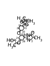 Cc1cnc(-c2cc(Oc3ccc(S(=O)(=O)N(C)C)cc3)cc(O[C@@H](C)CO)c2)[nH]c1=O